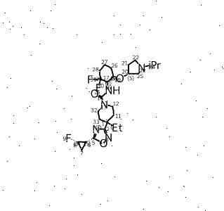 CCC1(c2noc([C@@H]3C[C@@H]3F)n2)CCN(C(=O)N[C@@H]2[C@@H](O[C@H]3CCN(C(C)C)C3)CCCC2(F)F)CC1